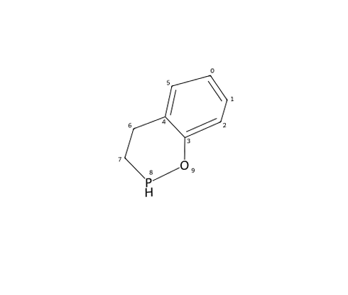 c1ccc2c(c1)CCPO2